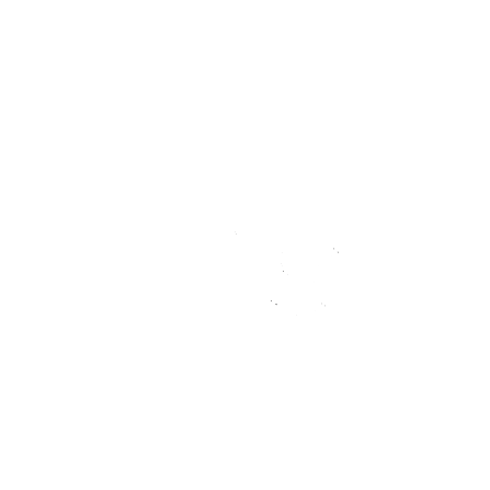 CCCCCCc1cc(O)nc2ncnn12